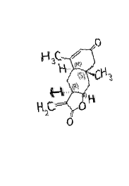 C=C1C(=O)O[C@@H]2C[C@@]3(C)CC(=O)C=C(C)[C@@H]3C[C@H]12